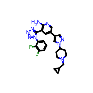 Nc1ncc(-c2cnn(C3CCN(CC4CC4)CC3)c2)cc1-c1nnnn1-c1cccc(F)c1F